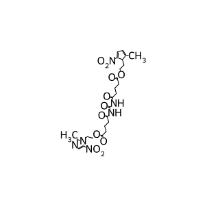 CC1=CC=C([N+](=O)[O-])C1CCOC(=O)CCCC(=O)NC(=O)NC(=O)CCCC(=O)OCCn1c([N+](=O)[O-])cnc1C